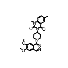 COc1cc2cnnc(N3CCC(n4c(=O)c5cc(C)ccc5n(C)c4=O)CC3)c2cc1OC